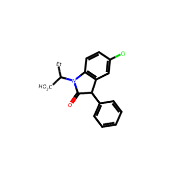 CCC(C(=O)O)N1C(=O)C(c2ccccc2)c2cc(Cl)ccc21